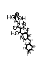 Cn1c(=O)c(C(=O)NCP(=O)(O)O)c(O)c2ncc(Cc3ccc(F)cc3)cc21